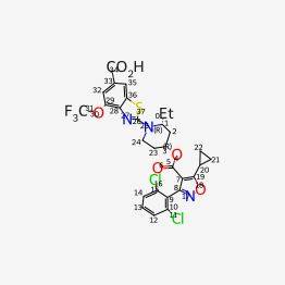 CC[C@@H]1C[C@H](OC(=O)c2c(-c3c(Cl)cccc3Cl)noc2C2CC2)CCN1c1nc2c(OC(F)(F)F)cc(C(=O)O)cc2s1